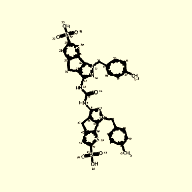 Cc1ccc(Cn2nc(NC(=O)Nc3nn(Cc4ccc(C)cc4)c4c3Cc3cc(S(=O)(=O)O)sc3-4)c3c2-c2sc(S(=O)(=O)O)cc2C3)cc1